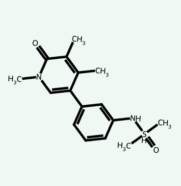 Cc1c(-c2cccc(N[SH](C)(C)=O)c2)cn(C)c(=O)c1C